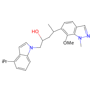 COc1c(C(C)CC(O)Cn2ccc3c(C(C)C)cccc32)ccc2cnn(C)c12